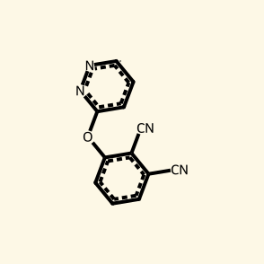 N#Cc1cccc(Oc2cc[c]nn2)c1C#N